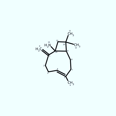 C=C1CC/C=C(\C)CCC2C(C)(C)CC12N